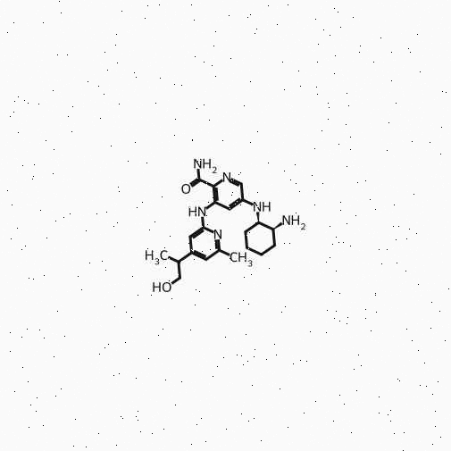 Cc1cc(C(C)CO)cc(Nc2cc(N[C@@H]3CCCC[C@@H]3N)cnc2C(N)=O)n1